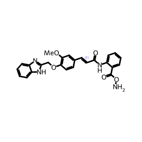 COc1cc(/C=C/C(=O)Nc2ccccc2C(=O)ON)ccc1OCc1nc2ccccc2[nH]1